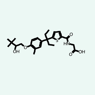 CCC(CC)(c1ccc(OCC(O)C(C)(C)C)c(C)c1)c1ccc(C(=O)NCC(=O)O)s1